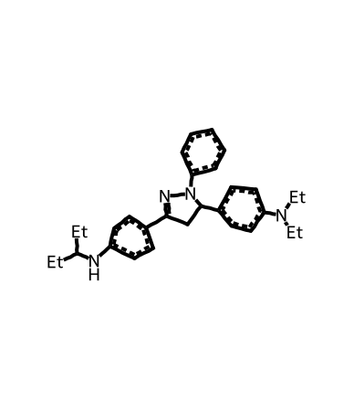 CCC(CC)Nc1ccc(C2=NN(c3ccccc3)C(c3ccc(N(CC)CC)cc3)C2)cc1